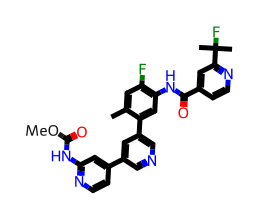 COC(=O)Nc1cc(-c2cncc(-c3cc(NC(=O)c4ccnc(C(C)(C)F)c4)c(F)cc3C)c2)ccn1